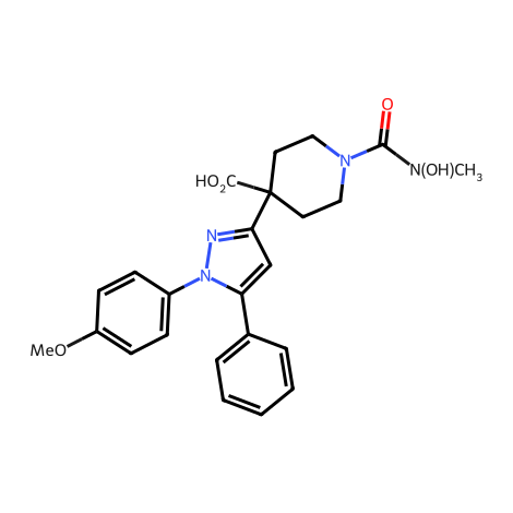 COc1ccc(-n2nc(C3(C(=O)O)CCN(C(=O)N(C)O)CC3)cc2-c2ccccc2)cc1